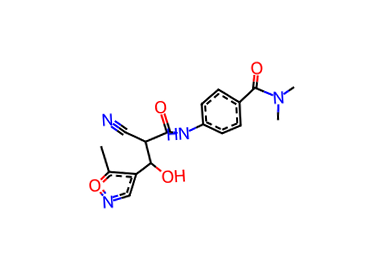 Cc1oncc1C(O)C(C#N)C(=O)Nc1ccc(C(=O)N(C)C)cc1